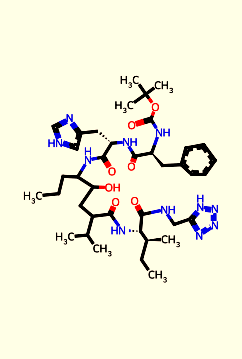 CCCC(NC(=O)[C@H](Cc1c[nH]cn1)NC(=O)[C@H](Cc1ccccc1)NC(=O)OC(C)(C)C)C(O)CC(C(=O)N[C@H](C(=O)NCc1nnn[nH]1)[C@@H](C)CC)C(C)C